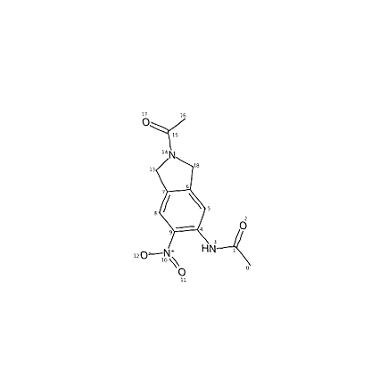 CC(=O)Nc1cc2c(cc1[N+](=O)[O-])CN(C(C)=O)C2